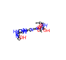 C#Cc1ccc([C@H](C)NC(=O)[C@@H]2C[C@@H](O)CN2C(=O)[C@@H](OC(=O)N2CC3(CC(N4CCC(c5cnc(N6CCc7[nH]c8nnc(-c9ccccc9O)cc8c7[C@H]6C)nc5)CC4)C3)C2)C(C)(C)C)cc1